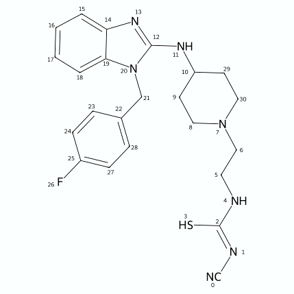 N#CN=C(S)NCCN1CCC(Nc2nc3ccccc3n2Cc2ccc(F)cc2)CC1